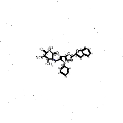 CCN1C(=O)C(C#N)=C(C)/C(=C/c2cc3oc(-c4cc5ccccc5o4)nc3n2-c2ccccc2)C1=O